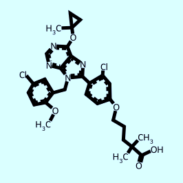 COc1ccc(Cl)cc1Cn1c(-c2ccc(OCCCC(C)(C)C(=O)O)cc2Cl)nc2c(OC3(C)CC3)ncnc21